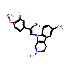 COc1ccc(C(C)=Cn2c3c(c4cc(C)ccc42)CCN(C)C3)cc1F